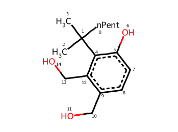 CCCCCC(C)(C)c1c(O)ccc(CO)c1CO